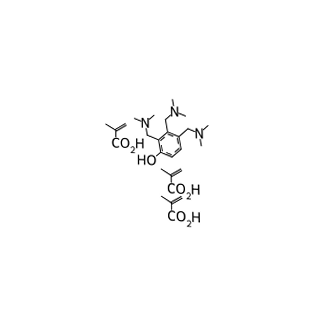 C=C(C)C(=O)O.C=C(C)C(=O)O.C=C(C)C(=O)O.CN(C)Cc1ccc(O)c(CN(C)C)c1CN(C)C